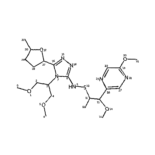 COCC(COC)n1c(NSC(C)C(OC)c2cnc(OC)cn2)nnc1C1CCC(C)O1